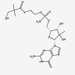 CC(C)(CO)C(=O)SCCOP(N)(=O)OC[C@H]1O[C@@H](n2cnc3c(=O)[nH]c(N)nc32)C(C)(O)[C@H]1O